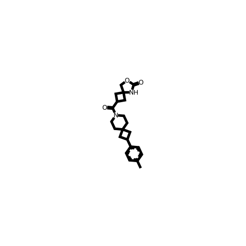 Cc1ccc(C2CC3(CCN(C(=O)C4CC5(COC(=O)N5)C4)CC3)C2)cc1